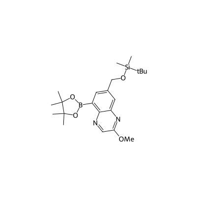 COc1cnc2c(B3OC(C)(C)C(C)(C)O3)cc(CO[Si](C)(C)C(C)(C)C)cc2n1